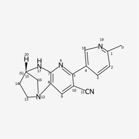 Cc1ccc(-c2nc3c(cc2C#N)N2CC[C@@H](C2)N3)cn1